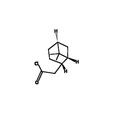 CC1(C)[C@H]2CC[C@@H](CC(=O)Cl)[C@H]1C2